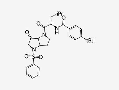 CC(C)C[C@H](NC(=O)c1ccc(C(C)(C)C)cc1)C(=O)N1CCC2C1C(=O)CN2S(=O)(=O)c1ccccc1